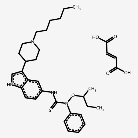 CCCCCCN1CCC(c2c[nH]c3ccc(NC(=S)N(OC(C)CC)c4ccccc4)cc23)CC1.O=C(O)C=CC(=O)O